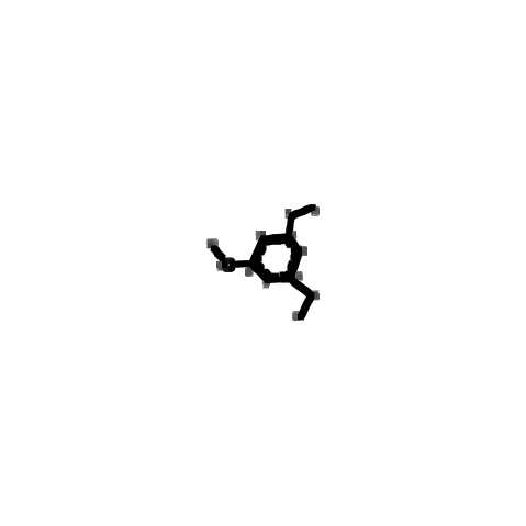 CCc1[c]c(CC)cc(OC)c1